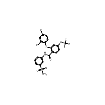 NS(=O)(=O)c1cccc(NC(=O)c2ccc(OC(F)(F)F)cc2Oc2ccc(F)cc2Cl)c1